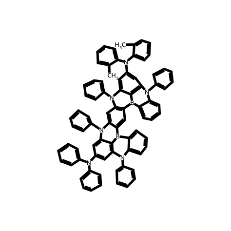 Cc1ccccc1N(c1cc2c3c(c1)N(c1ccccc1)c1cc4c(cc1B3c1ccccc1N2c1ccccc1)B1c2ccccc2N(c2ccccc2)c2cc(N(c3ccccc3)c3ccccc3)cc(c21)N4c1ccccc1)c1ccccc1C